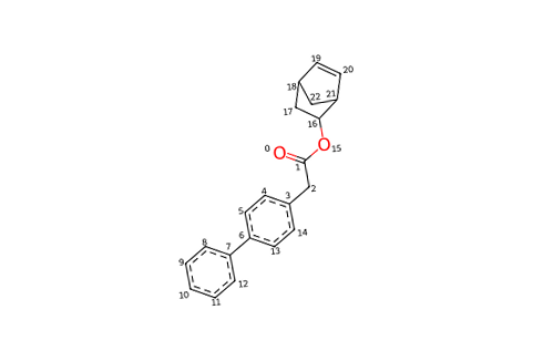 O=C(Cc1ccc(-c2ccccc2)cc1)OC1CC2C=CC1C2